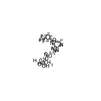 CC(C)(COC(=O)OCCn1nc(C#N)c(-c2nc(-c3cccc(C(F)(F)F)c3)oc2C2CC2)n1)C(=O)O